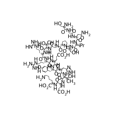 CC(C)[C@H](NC(=O)[C@H](CC(N)=O)NC(=O)CNC(=O)[C@@H](N)CO)C(=O)N[C@@H](CO)C(=O)N1CCC[C@H]1C(=O)NCC(=O)N[C@H](C(=O)N[C@@H](CCCNC(=N)N)C(=O)N[C@@H](CCCNC(=N)N)C(=O)N[C@@H](CCC(=O)O)C(=O)N[C@@H](Cc1ccc(O)cc1)C(=O)N[C@@H](Cc1c[nH]cn1)C(=O)N[C@H](C(=O)N[C@@H](CCC(=O)O)C(=O)N[C@@H](CCCCN)C(=O)O)[C@@H](C)O)[C@@H](C)O